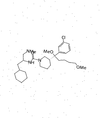 CNCC(CC1CCCCC1)NC(=O)N1CCC[C@@H](C(CCCCOC)(OC)c2cccc(Cl)c2)C1